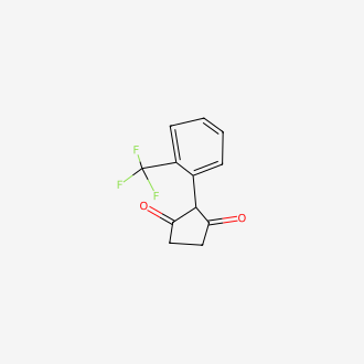 O=C1CCC(=O)C1c1ccccc1C(F)(F)F